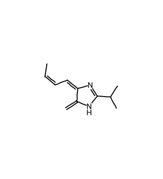 C=c1[nH]c(C(C)C)n/c1=C/C=C\C